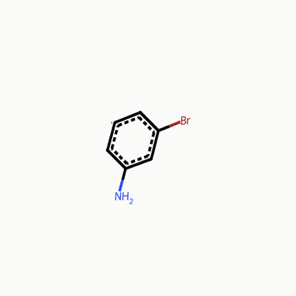 Nc1c[c]cc(Br)c1